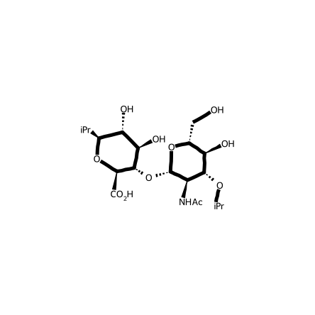 CC(=O)N[C@H]1[C@H](O[C@H]2[C@H](O)[C@@H](O)[C@H](C(C)C)O[C@@H]2C(=O)O)O[C@H](CO)[C@@H](O)[C@@H]1OC(C)C